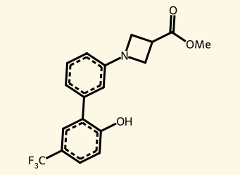 COC(=O)C1CN(c2cccc(-c3cc(C(F)(F)F)ccc3O)c2)C1